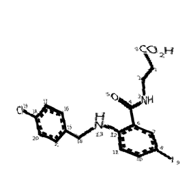 O=C(O)CCNC(=O)c1cc(I)ccc1NCc1ccc(Cl)cc1